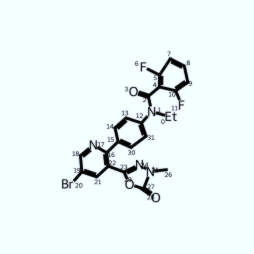 CCN(C(=O)c1c(F)cccc1F)c1ccc(-c2ncc(Br)cc2-c2nn(C)c(=O)o2)cc1